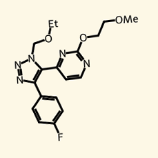 CCOCn1nnc(-c2ccc(F)cc2)c1-c1ccnc(OCCOC)n1